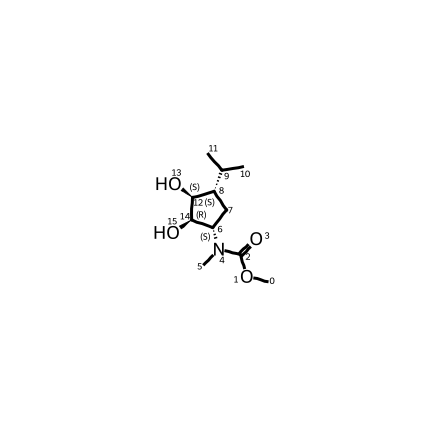 COC(=O)N(C)[C@H]1C[C@@H](C(C)C)[C@H](O)[C@@H]1O